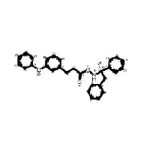 C[C@](Cc1ccccc1)(NOC(=O)CCc1cccc(Oc2ccccc2)c1)c1ccccc1